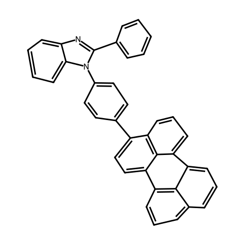 c1ccc(-c2nc3ccccc3n2-c2ccc(-c3ccc4c5cccc6cccc(c7cccc3c74)c65)cc2)cc1